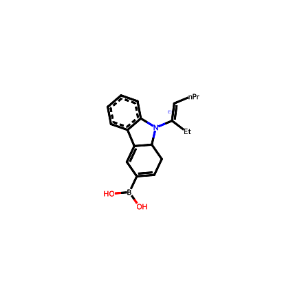 CCC/C=C(\CC)N1c2ccccc2C2=CC(B(O)O)=CCC21